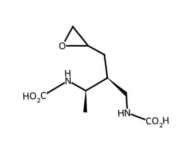 C[C@@H](NC(=O)O)[C@H](CNC(=O)O)CC1CO1